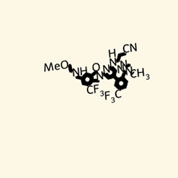 COCCNCc1cc2c(c(C(F)(F)F)c1)CN(c1cc(-c3cc(C(F)(F)F)ccc3-c3nncn3C)cc(NCCCC#N)n1)C2=O